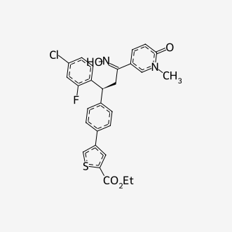 CCOC(=O)c1cc(-c2ccc([C@H](C/C(=N\O)c3ccc(=O)n(C)c3)c3ccc(Cl)cc3F)cc2)cs1